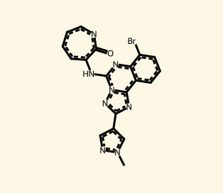 Cn1cc(-c2nc3c4cccc(Br)c4nc(Nc4ccccnc4=O)n3n2)cn1